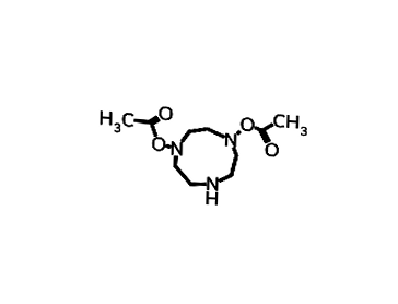 CC(=O)ON1CCNCCN(OC(C)=O)CC1